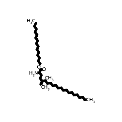 CC=C(CCC(N)C(=O)OCCCCCCCCCCCCCCCC)C(C)CCCCCCCCCCCCCCCC